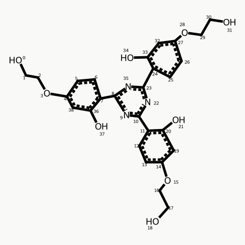 OCCOc1ccc(-c2nc(-c3ccc(OCCO)cc3O)nc(-c3ccc(OCCO)cc3O)n2)c(O)c1